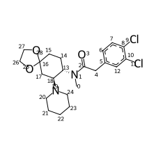 CN(C(=O)Cc1ccc(Cl)c(Cl)c1)[C@H]1CCC2(C[C@@H]1N1CCCCC1)OCCO2